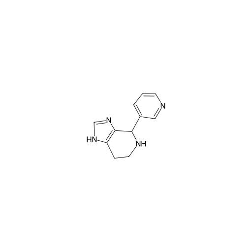 c1cncc(C2NCCc3[nH]cnc32)c1